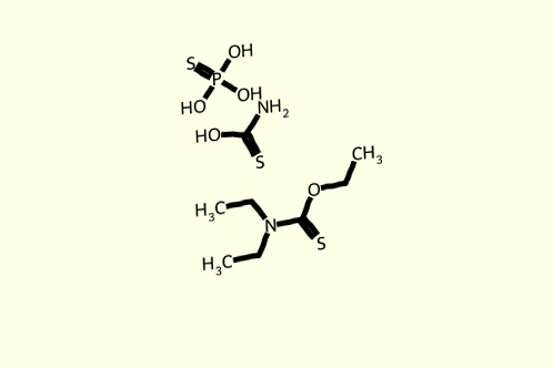 CCOC(=S)N(CC)CC.NC(O)=S.OP(O)(O)=S